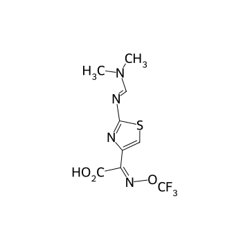 CN(C)/C=N/c1nc(/C(=N\OC(F)(F)F)C(=O)O)cs1